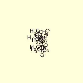 C=C1C2C(CCc3ccc4c(oc5nc(-c6ccccc6)ccc54)c3-c3cc(C(C)(C)C)cc[n+]31)c1ccc(C3CCCCC3)cc1-c1cc(CC(C)C)c([Si](C)(C)C)c[n+]12